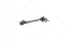 Cc1ccc(S(=O)(=O)OCCCCCCCCCCCCCOCC(=O)OC(C)(C)C)cc1